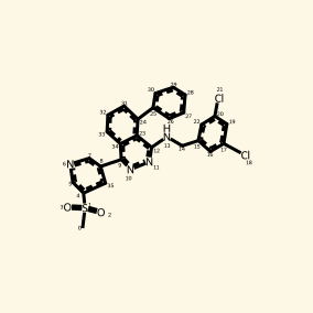 CS(=O)(=O)c1cncc(-c2nnc(NCc3cc(Cl)cc(Cl)c3)c3c(-c4ccccc4)cccc23)c1